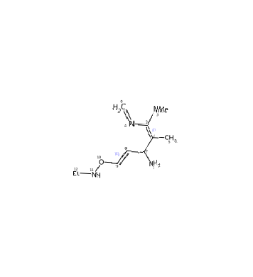 C=N/C(NC)=C(/C)C(N)/C=C/ONCC